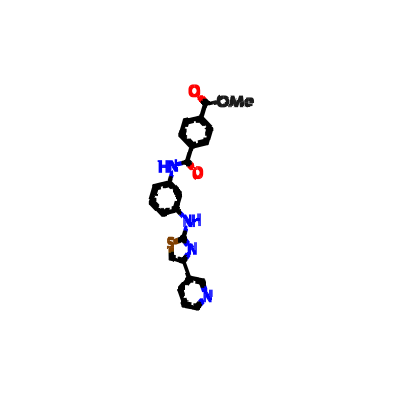 COC(=O)c1ccc(C(=O)Nc2cccc(Nc3nc(-c4cccnc4)cs3)c2)cc1